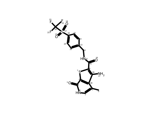 Cc1c[nH]c(=O)c2sc(C(=O)NCc3ccc(S(=O)(=O)C(F)(F)F)cc3)c(N)c12